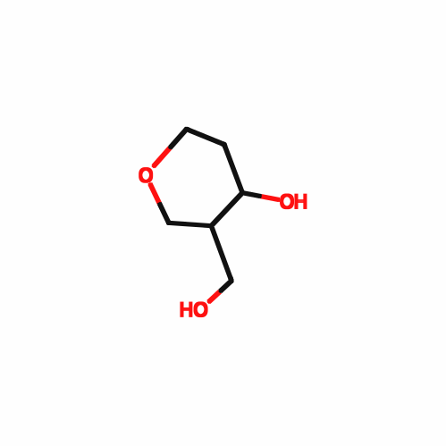 OCC1COCCC1O